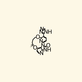 C[C@@H]1CCCOc2nc(ccc2-c2nnc[nH]2)-n2c(=O)[nH]c3nccc(c32)O1